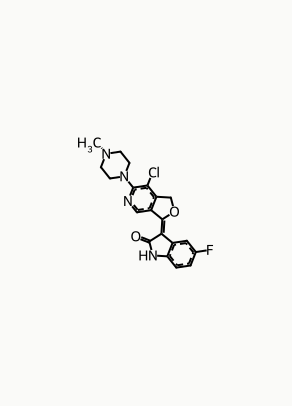 CN1CCN(c2ncc3c(c2Cl)CO/C3=C2/C(=O)Nc3ccc(F)cc32)CC1